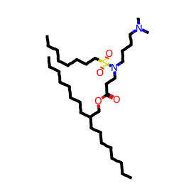 CCCCCCCCC(CCCCCCCC)COC(=O)CCN(CCCCN(C)C)S(=O)(=O)CCCCCCCC